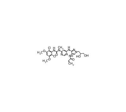 C=CC(=O)Nc1cn(CC(O)CO)nc1Nc1cc(N(C)C(=O)Nc2c(Cl)c(OC)cc(OC)c2Cl)ncn1